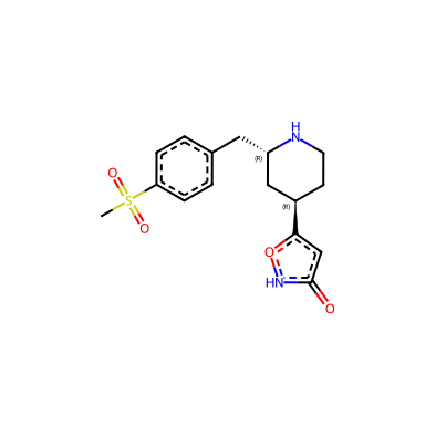 CS(=O)(=O)c1ccc(C[C@H]2C[C@H](c3cc(=O)[nH]o3)CCN2)cc1